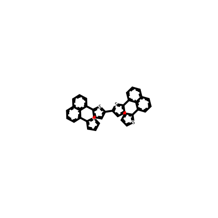 c1csc(-c2cccc3cccc(-c4ccc(-c5ccc(-c6cccc7cccc(-c8cccs8)c67)s5)s4)c23)c1